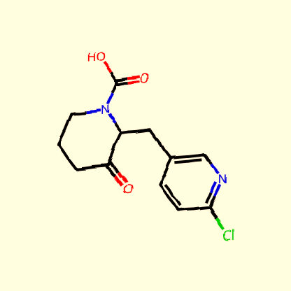 O=C1CCCN(C(=O)O)C1Cc1ccc(Cl)nc1